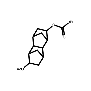 CC(=O)OC1CC2CC1C1C3CC(OC(=O)C(C)(C)C)C(C3)C21